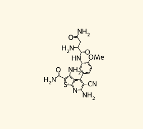 COc1ccc(-c2c(C#N)c(N)nc3sc(C(N)=O)c(N)c23)cc1NC(=O)[C@@H](N)CC(N)=O